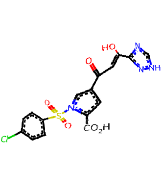 O=C(C=C(O)c1nc[nH]n1)c1cc(C(=O)O)n(S(=O)(=O)c2ccc(Cl)cc2)c1